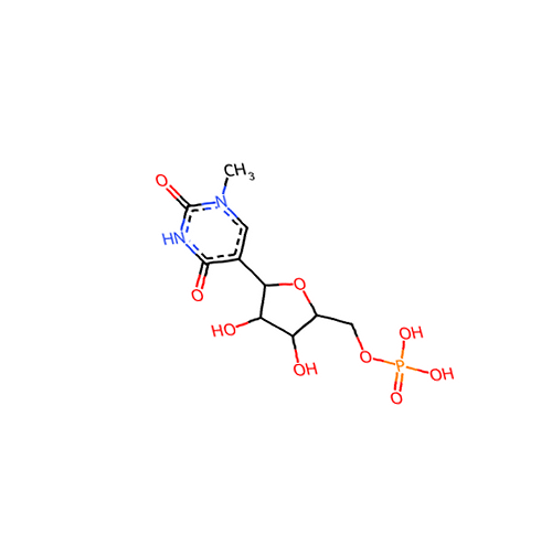 Cn1cc(C2OC(COP(=O)(O)O)C(O)C2O)c(=O)[nH]c1=O